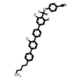 CCCCCc1ccc(-c2ccc(-c3ccc(-c4cc(F)c(C(F)(F)Oc5ccc(C#N)cc5)c(F)c4)cc3)c(F)c2)cc1